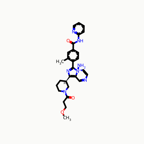 COCCC(=O)N1CCC[C@@H](C2=C3C=NC=C[N+]3(N)C(c3ccc(C(=O)Nc4ccccn4)cc3C)=N2)C1